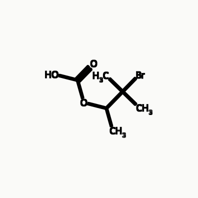 CC(OC(=O)O)C(C)(C)Br